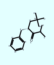 CC(C)C(=O)[C@H](Cc1ccccc1)CC(C)(C)C